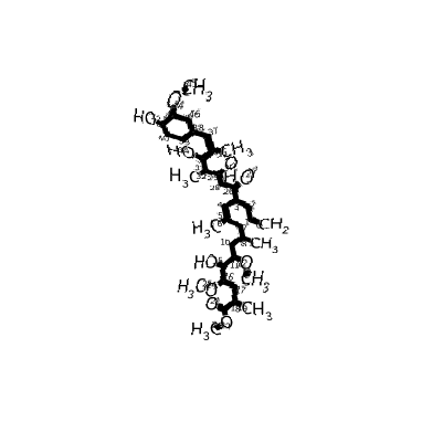 C=CCC(C=C(C)CC(C)CC(OC)C(O)C(CC(C)C(=O)OC)OC)C(=O)CC(O)C(C)C(O)C(C)=CC1CCC(O)C(OC)C1